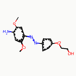 COc1cc(N=Nc2ccc(OCCO)cc2)c(OC)cc1N